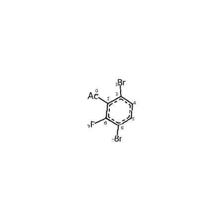 CC(=O)c1c(Br)ccc(Br)c1F